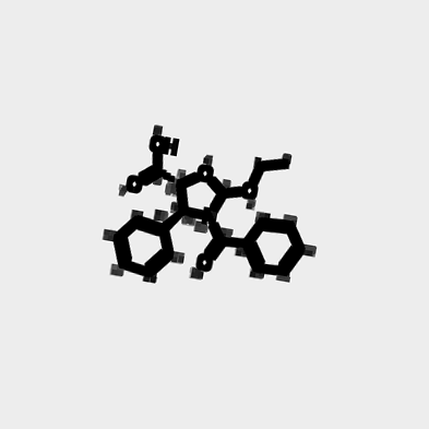 CCOC1O[C@@H](C(=O)O)[C@H](c2ccccc2)N1C(=O)c1ccccc1